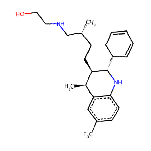 C[C@H](CC[C@@H]1[C@H](C)c2cc(C(F)(F)F)ccc2N[C@H]1C1C=CC=CC1)CNCCO